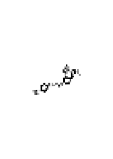 Cn1nccc1-c1cc(OCCOc2ccc(C#N)cc2)ccc1F